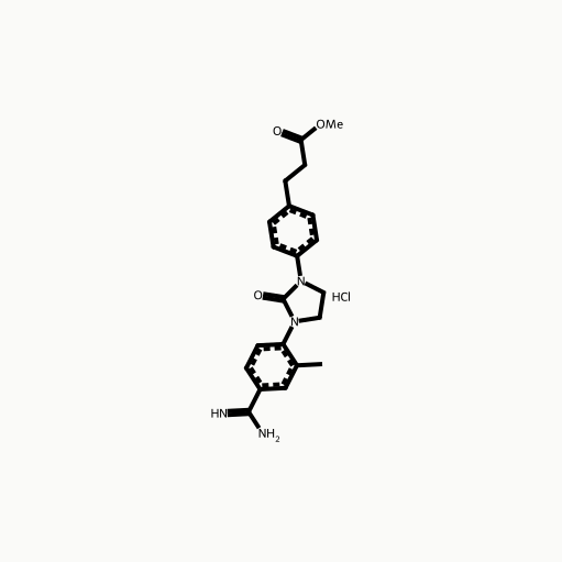 COC(=O)CCc1ccc(N2CCN(c3ccc(C(=N)N)cc3C)C2=O)cc1.Cl